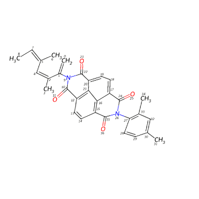 C=C(/C(C)=C\C(C)=C/C)N1C(=O)c2ccc3c4c(ccc(c24)C1=O)C(=O)N(c1ccc(C)cc1C)C3=O